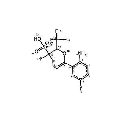 Nc1ccc(F)cc1C(=O)OC(C(F)(F)F)C(F)(F)S(=O)(=O)O